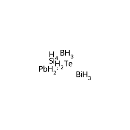 B.[BiH3].[PbH2].[SiH4].[TeH2]